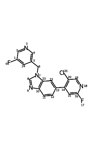 Fc1cncc(Cn2cnc3ccc(-c4cc(F)ncc4Cl)cc32)c1